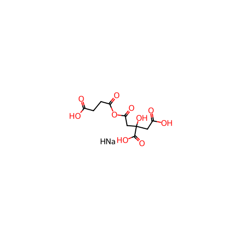 O=C(O)CCC(=O)OC(=O)CC(O)(CC(=O)O)C(=O)O.[NaH]